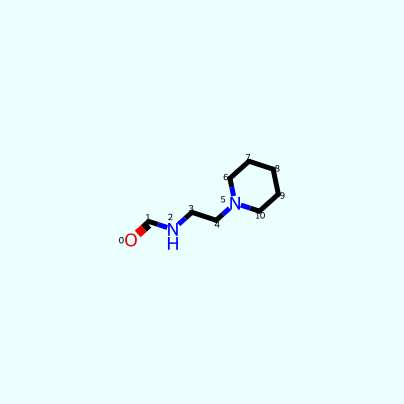 O=CNCCN1CCCCC1